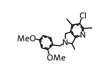 COc1ccc(CN2Cc3c(nc(C)c(Cl)c3C)C2C)c(OC)c1